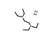 CCP(CC)CCP(CC)CC.[Au].[Au]